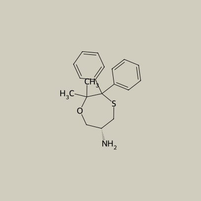 CC1(C)OC[C@@H](N)CSC1(c1ccccc1)c1ccccc1